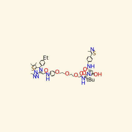 CCc1ccc(C2=N[C@@H](CC(=O)Nc3ccc(OCCCOCCCOCC(=O)N[C@H](C(=O)N4C[C@H](O)C[C@H]4C(=O)NCc4ccc(-c5scnc5C)cc4)C(C)(C)C)cc3)c3nnc(C)n3-c3sc(C)c(C)c32)cc1